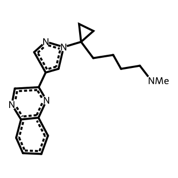 CNCCCCC1(n2cc(-c3cnc4ccccc4n3)cn2)CC1